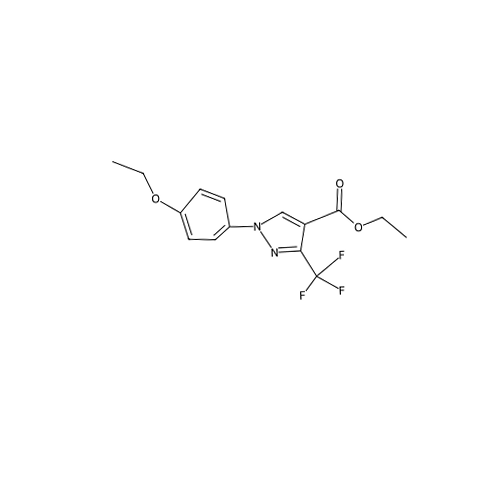 CCOC(=O)c1cn(-c2ccc(OCC)cc2)nc1C(F)(F)F